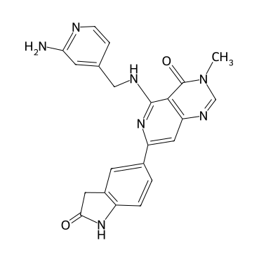 Cn1cnc2cc(-c3ccc4c(c3)CC(=O)N4)nc(NCc3ccnc(N)c3)c2c1=O